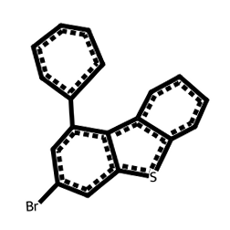 Brc1cc(-c2ccccc2)c2c(c1)sc1ccccc12